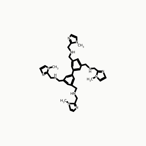 Cn1ccnc1CNCc1cc(CNCc2nccn2C)cc(-c2cc(CNCc3nccn3C)cc(CNCc3nccn3C)c2)c1